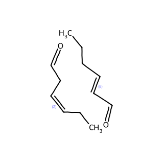 CC/C=C\CC=O.CCC/C=C/C=O